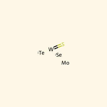 [Mo].[S]=[W].[Se].[Te]